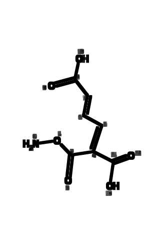 NOC(=O)C(=CC=CC(=O)O)C(=O)O